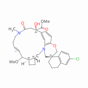 COC(=O)[C@@]1(O)CC(=O)N(C)CC/C=C/C(OC)[C@@H]2CC[C@H]2CN2C[C@@]3(CCCc4cc(Cl)ccc43)COc3ccc1cc32